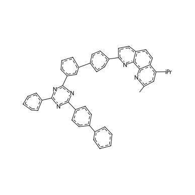 Cc1cc(C(C)C)c2ccc3ccc(-c4ccc(-c5cccc(-c6nc(-c7ccccc7)nc(-c7ccc(-c8ccccc8)cc7)n6)c5)cc4)nc3c2n1